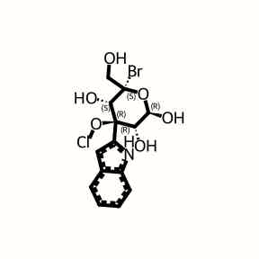 OC[C@@]1(Br)O[C@@H](O)[C@H](O)[C@](OCl)(c2cc3ccccc3[nH]2)[C@@H]1O